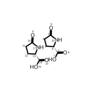 O=C1CC[C@@H](C(=O)O)N1.O=C1CC[C@@H](C(=O)O)N1